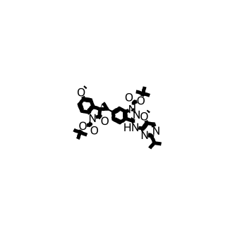 COc1ccc2c(c1)[C@]1(C[C@H]1c1ccc3c(Nc4nc(C(C)C)ncc4OC)nn(C(=O)OC(C)(C)C)c3c1)C(=O)N2C(=O)OC(C)(C)C